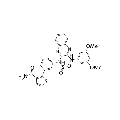 COc1cc(Nc2nc3ccccc3nc2N(c2cccc(-c3sccc3C(N)=O)c2)[SH](=O)=O)cc(OC)c1